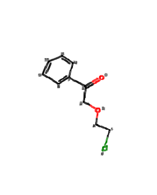 O=C(COCCCl)c1ccccc1